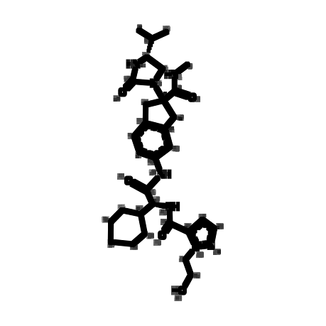 CNC(=O)C1(N2C[C@@H](C(C)C)NC2=O)Cc2ccc(NC(=O)[C@@H](NC(=O)c3ccnn3CCO)C3CCCCC3)cc2C1